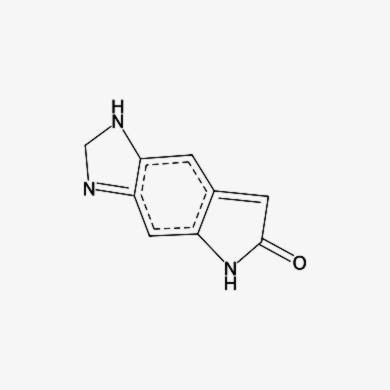 O=C1C=c2cc3c(cc2N1)=NCN3